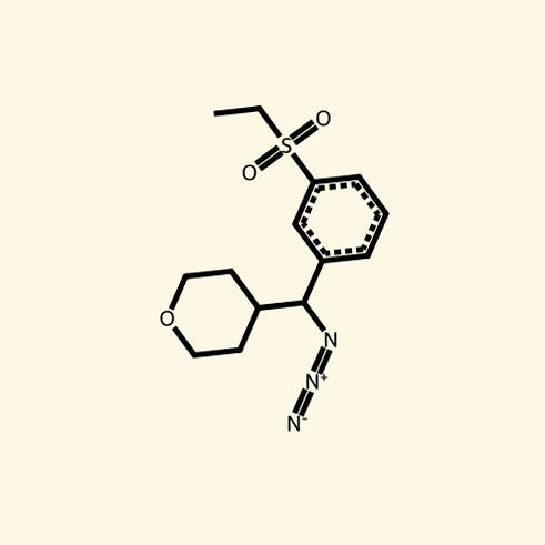 CCS(=O)(=O)c1cccc(C(N=[N+]=[N-])C2CCOCC2)c1